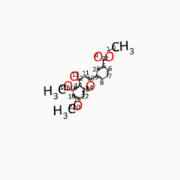 CCOC(=O)c1cccc(-c2cc(=O)c3c(OC)cc(OC)cc3o2)c1